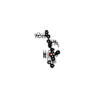 CCCCCCCCC1(CCCCCCCC)c2ccccc2-c2ccc(-c3ccc4c(c3)C(C)(C)c3cc(-c5ccc6c(c5)C(C)(C)c5c7c(c8oc9ccccc9c8c5-6)-c5ccc(Nc6ccccc6-c6ccccc6)cc5C7(C)C)ccc3-4)cc21